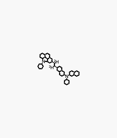 [2H]/C(=C(/[2H])c1cc2ccc3cccc4c3c2c(c1)n4-c1ccccc1)c1ccc2cc(N(c3ccccc3)c3ccc4ccccc4c3)ccc2c1